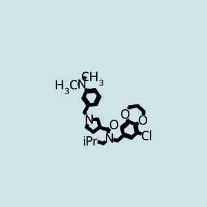 CC(C)CN(Cc1cc(Cl)c2c(c1)OCCCO2)C(=O)C1CCN(Cc2cccc(N(C)C)c2)C1